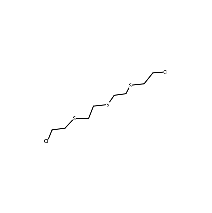 ClCCSCCSCCSCCCl